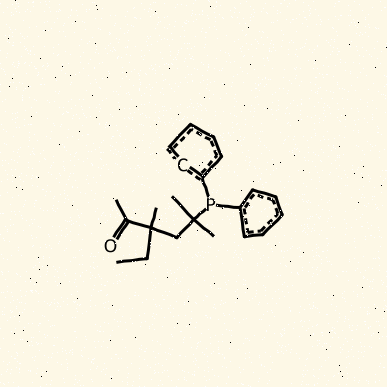 CCC(C)(CC(C)(C)P(c1ccccc1)c1ccccc1)C(C)=O